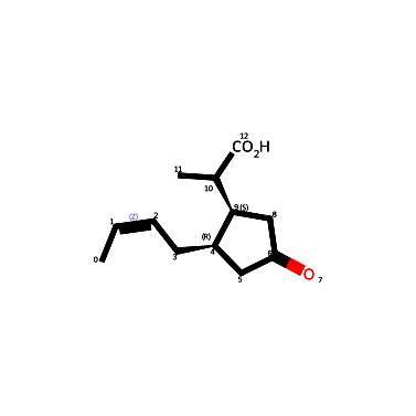 C/C=C\C[C@@H]1CC(=O)C[C@@H]1C(C)C(=O)O